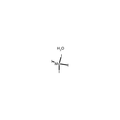 O.[I][Mo]([I])([I])[I]